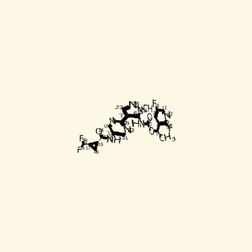 C[C@@H](OC(=O)Nc1c(-c2ncc(NC(=O)[C@@H]3C[C@H]3C(F)F)cn2)cnn1C)c1cc(F)cnc1F